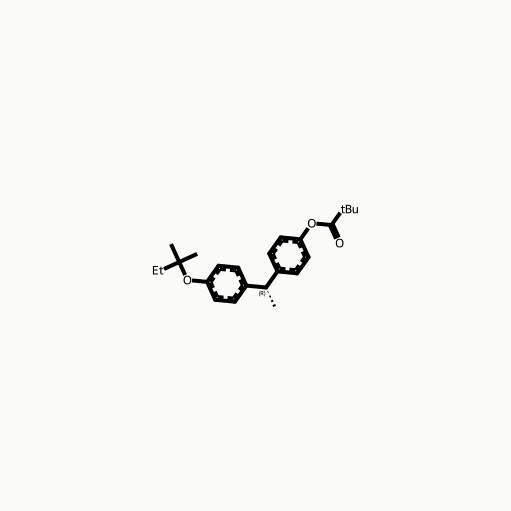 CCC(C)(C)Oc1ccc([C@@H](C)c2ccc(OC(=O)C(C)(C)C)cc2)cc1